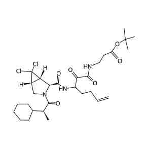 C=CCCC(NC(=O)[C@@H]1[C@@H]2[C@H](CN1C(=O)[C@@H](C)C1CCCCC1)C2(Cl)Cl)C(=O)C(=O)NCCC(=O)OC(C)(C)C